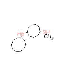 CBC1CCCCC(BC2CCCCCCCCC2)CCC1